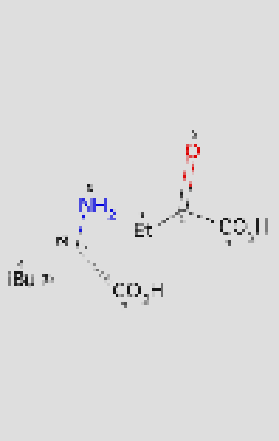 CCC(=O)C(=O)O.CC[C@H](C)[C@H](N)C(=O)O